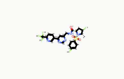 C[C@H]1[C@H](F)C[C@@H](C(=O)NCc2cc(-c3ccc(C(F)(F)F)nc3)ncn2)N1S(=O)(=O)c1ccc(F)cc1